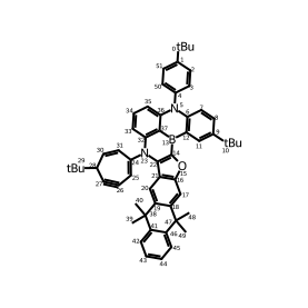 CC(C)(C)c1ccc(N2c3ccc(C(C)(C)C)cc3B3c4oc5cc6c(cc5c4N(C4=CC#CC(C(C)(C)C)C=C4)c4cccc2c43)C(C)(C)c2ccccc2C6(C)C)cc1